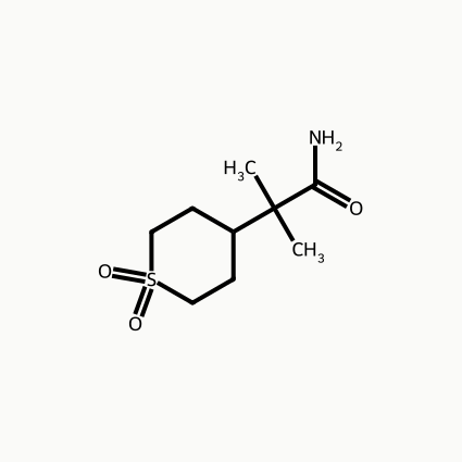 CC(C)(C(N)=O)C1CCS(=O)(=O)CC1